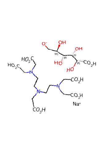 O=C(O)CN(CCN(CC(=O)O)CC(=O)O)CCN(CC(=O)O)CC(=O)O.O=C(O)[C@H](O)[C@@H](O)[C@H](O)[C@H](O)C[O-].[Na+]